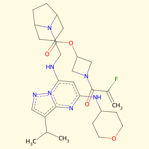 C=C(F)C(=O)N1CC(OC(=O)N2C3CCC2CC(CNc2cc(NC4CCOCC4)nc4c(C(C)C)cnn24)C3)C1